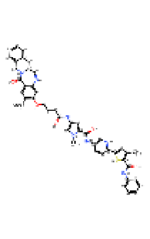 COc1cc2c(cc1OCCCC(=O)Nc1cc(C(=O)Nc3ccc(-c4cc(C)c(C(=O)Nc5ccccc5)s4)nc3)n(C)c1)N=CC1Cc3ccccc3CN1C2=O